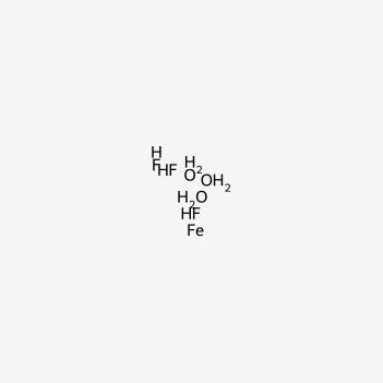 F.F.F.O.O.O.[Fe]